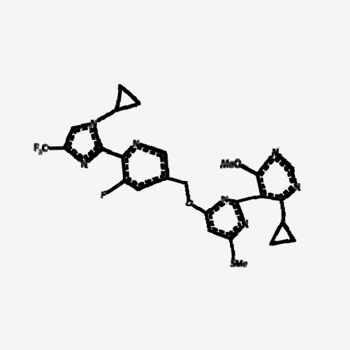 COc1ncnc(C2CC2)c1-c1nc(OCc2cnc(-c3nc(C(F)(F)F)cn3C3CC3)c(F)c2)cc(SC)n1